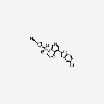 N#CC1CN(S(=O)(=O)N2CCSc3c(-c4cc5cc(Cl)ccc5o4)cncc32)C1